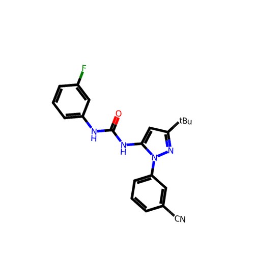 CC(C)(C)c1cc(NC(=O)Nc2cccc(F)c2)n(-c2cccc(C#N)c2)n1